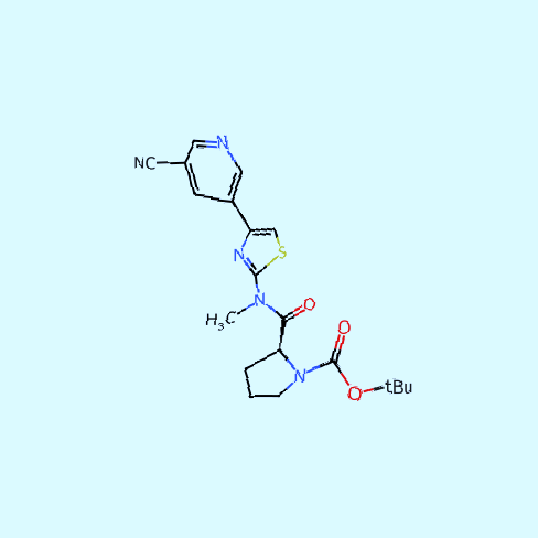 CN(C(=O)[C@@H]1CCCN1C(=O)OC(C)(C)C)c1nc(-c2cncc(C#N)c2)cs1